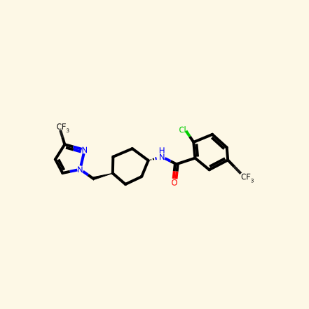 O=C(N[C@H]1CC[C@H](Cn2ccc(C(F)(F)F)n2)CC1)c1cc(C(F)(F)F)ccc1Cl